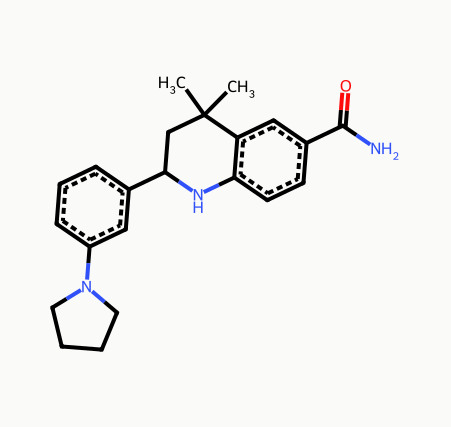 CC1(C)CC(c2cccc(N3CCCC3)c2)Nc2ccc(C(N)=O)cc21